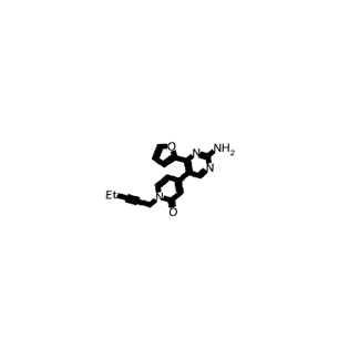 CCC#CCn1ccc(-c2cnc(N)nc2-c2ccco2)cc1=O